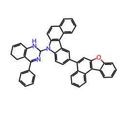 C1=CC2=C(CC1)C(c1ccccc1)=NC(n1c3ccc(-c4cc5oc6ccccc6c5c5ccccc45)cc3c3c4ccccc4ccc31)N2